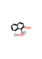 CCO.O=Nc1c(O)ccc2ccccc12